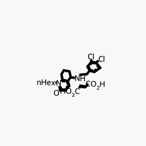 CCCCCCn1c2c(ccc1=O)C(NCCc1ccc(Cl)c(Cl)c1)CCC2.O=C(O)C=CC(=O)O